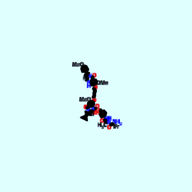 COc1ccc(C2=CN3C(=O)c4cc(OC)c(OCCCCCOc5cc6c(cc5OC)C(=O)N5CC(C7CC7)C[C@H]5C(O)N6C(=O)OCc5ccc(NC(=O)C(C)NC(=O)[C@H](N)C(C)C)cc5)cc4NC[C@H]3C2)cc1